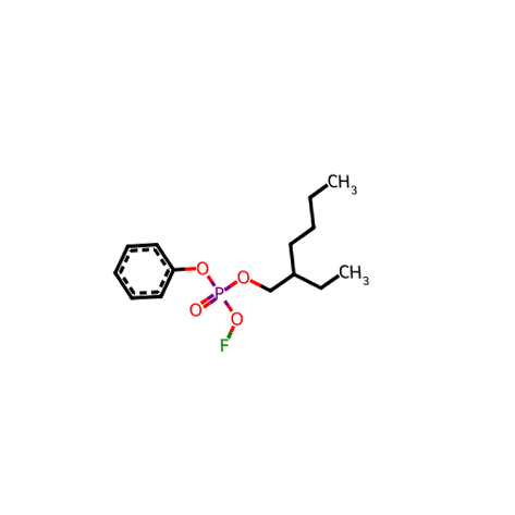 CCCCC(CC)COP(=O)(OF)Oc1ccccc1